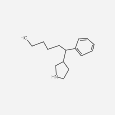 OCCCCC(c1ccccc1)C1CCNC1